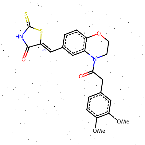 COc1ccc(CC(=O)N2CCOc3ccc(/C=C4\SC(=S)NC4=O)cc32)cc1OC